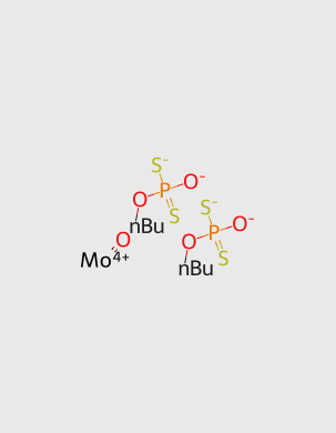 CCCCOP([O-])(=S)[S-].CCCCOP([O-])(=S)[S-].[O]=[Mo+4]